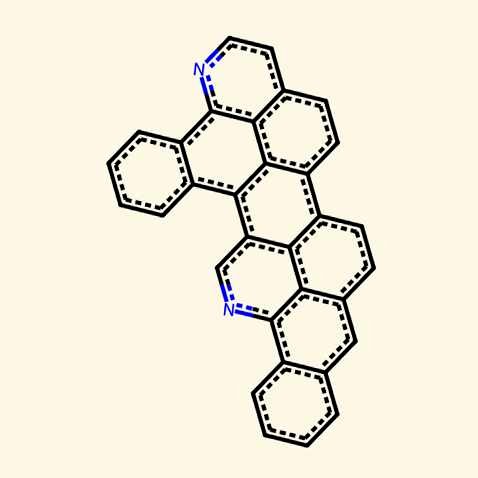 c1ccc2c(c1)cc1ccc3c4ccc5ccnc6c7ccccc7c(c7cnc2c1c37)c4c56